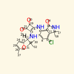 [2H]C(Nc1c(Nc2ccc(Cl)c3c2C(=O)NC3(C)C)c(=O)c1=O)(c1ccc(C)o1)C(C)(C)C